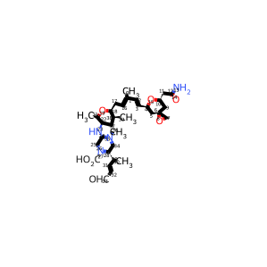 CC(C=C[C@@H]1C[C@]2(CO2)C[C@@H](CC(N)=O)O1)=CC[C@@H]1O[C@H](C)[C@H](NC2CN(C(=O)O)[C@@H](C(C)C=CC=O)CN2C)C[C@@H]1C